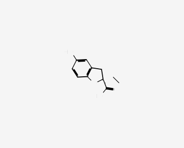 CC[C@@]1(C(=O)O)Cc2cc(O)ccc2O1